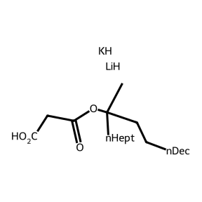 CCCCCCCCCCCCC(C)(CCCCCCC)OC(=O)CC(=O)O.[KH].[LiH]